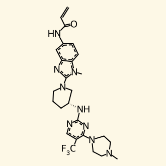 C=CC(=O)Nc1ccc2c(c1)nc(N1CCC[C@@H](Nc3ncc(C(F)(F)F)c(N4CCN(C)CC4)n3)C1)n2C